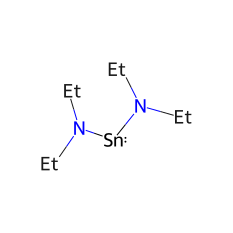 CC[N](CC)[Sn][N](CC)CC